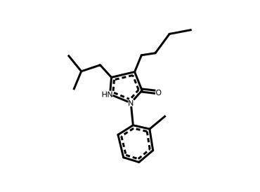 CCCCc1c(CC(C)C)[nH]n(-c2ccccc2C)c1=O